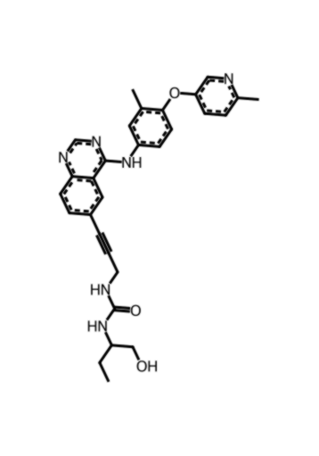 CCC(CO)NC(=O)NCC#Cc1ccc2ncnc(Nc3ccc(Oc4ccc(C)nc4)c(C)c3)c2c1